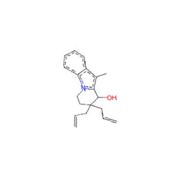 C=CCC1(CC=C)CCn2c(c(C)c3ccccc32)C1O